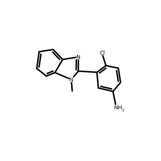 Cn1c(-c2cc(N)ccc2Cl)nc2ccccc21